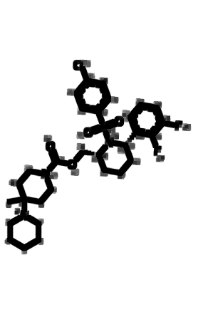 CC1(N2CCCCC2)CCN(C(=O)OC[C@H]2CCC[C@@H](c3cccc(F)c3F)N2S(=O)(=O)c2ccc(Cl)cc2)CC1